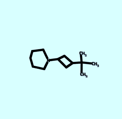 CC(C)(C)C1CC(N2CCCCC2)C1